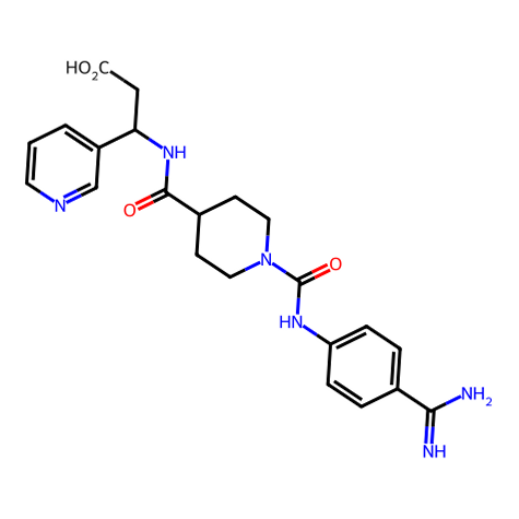 N=C(N)c1ccc(NC(=O)N2CCC(C(=O)NC(CC(=O)O)c3cccnc3)CC2)cc1